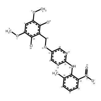 COc1cc(OC)c(Cl)c(COc2cnc(Nc3c(C)cccc3[N+](=O)[O-])nc2)c1Cl